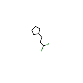 FC(F)CCC1CCCC1